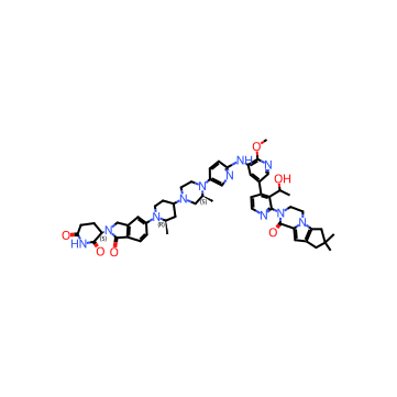 COc1ncc(-c2ccnc(N3CCn4c(cc5c4CC(C)(C)C5)C3=O)c2C(C)O)cc1Nc1ccc(N2CCN(C3CCN(c4ccc5c(c4)CN([C@H]4CCC(=O)NC4=O)C5=O)[C@H](C)C3)C[C@@H]2C)cn1